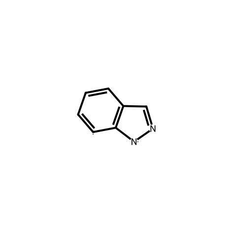 [c]1cccc2c1[N]N=C2